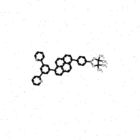 CC1(C)OB(c2ccc(-c3ccc4ccc5c(-c6cc(-c7ccccn7)cc(-c7ccccn7)c6)ccc6ccc3c4c65)cc2)OC1(C)C